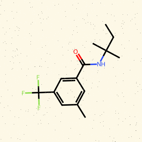 CCC(C)(C)NC(=O)c1cc(C)cc(C(F)(F)F)c1